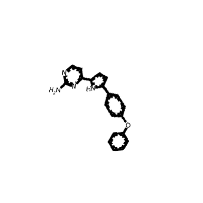 Nc1nccc(-c2ccc(-c3ccc(Oc4ccccc4)cc3)[nH]2)n1